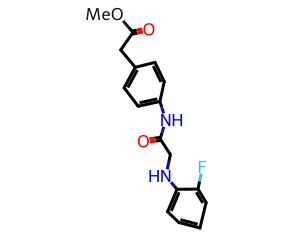 COC(=O)Cc1ccc(NC(=O)CNc2ccccc2F)cc1